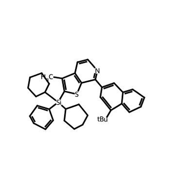 Cc1c([Si](c2ccccc2)(C2CCCCC2)C2CCCCC2)sc2c(-c3cc(C(C)(C)C)c4ccccc4c3)nccc12